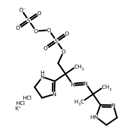 CC(C)(N=NC(C)(COS(=O)(=O)OOS(=O)(=O)[O-])C1=NCCN1)C1=NCCN1.Cl.Cl.[K+]